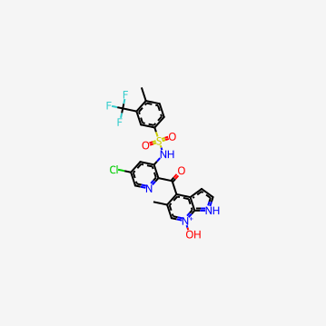 Cc1ccc(S(=O)(=O)Nc2cc(Cl)cnc2C(=O)c2c(C)c[n+](O)c3[nH]ccc23)cc1C(F)(F)F